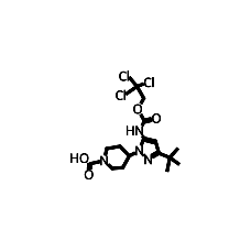 CC(C)(C)c1cc(NC(=O)OCC(Cl)(Cl)Cl)n(C2CCN(C(=O)O)CC2)n1